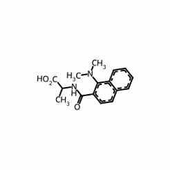 CC(NC(=O)c1ccc2ccccc2c1N(C)C)C(=O)O